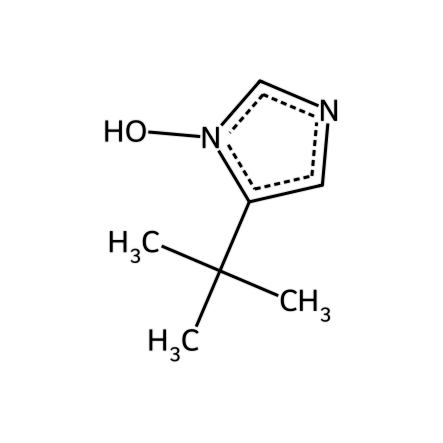 CC(C)(C)c1cncn1O